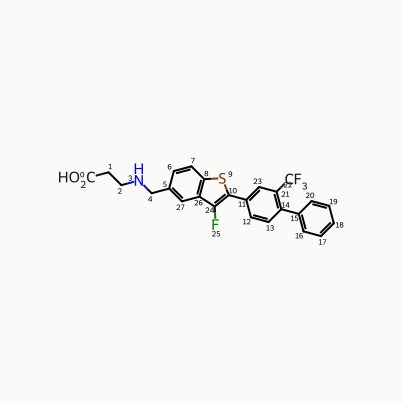 O=C(O)CCNCc1ccc2sc(-c3ccc(-c4ccccc4)c(C(F)(F)F)c3)c(F)c2c1